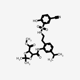 COC(=O)C1OC(C)(C)OC1C(=O)Nc1cc(C(C)C)ccc1CCNS(=O)(=O)c1cc(C#N)ccc1O